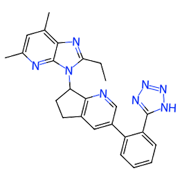 CCc1nc2c(C)cc(C)nc2n1C1CCc2cc(-c3ccccc3-c3nnn[nH]3)cnc21